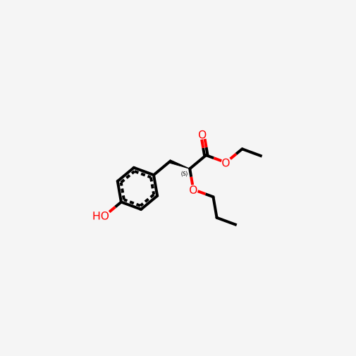 CCCO[C@@H](Cc1ccc(O)cc1)C(=O)OCC